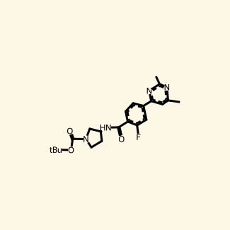 Cc1cc(-c2ccc(C(=O)NC3CCN(C(=O)OC(C)(C)C)C3)c(F)c2)nc(C)n1